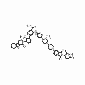 Cc1c(-c2cc(Nc3ccc(N4CCN(C5CCN(c6ccc7c(c6)C(=O)N(C6CCC(=O)NC6=O)C7=O)CC5)C[C@@H]4C)cn3)c(C(N)=O)cn2)ccnc1N1CCc2c(sc3c2CCCC3)C1=O